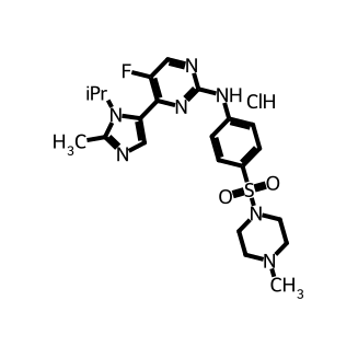 Cc1ncc(-c2nc(Nc3ccc(S(=O)(=O)N4CCN(C)CC4)cc3)ncc2F)n1C(C)C.Cl